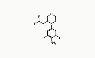 Nc1c(F)cc(N2CCOCC2CC(F)F)cc1F